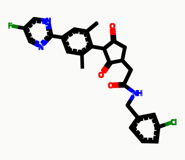 Cc1cc(-c2ncc(F)cn2)cc(C)c1C1C(=O)CC(CC(=O)NCc2cccc(Cl)c2)C1=O